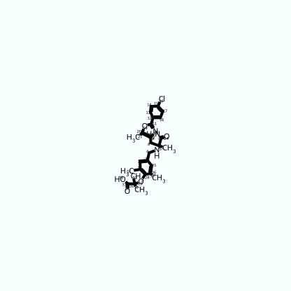 Cc1cc(CNC(C)(Cc2nc(-c3ccc(Cl)cc3)oc2C)C(N)=O)cc(C)c1OC(C)(C)C(=O)O